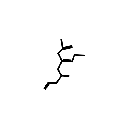 C=CCC(C)CC(=CCC)CC(=C)C